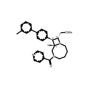 COC[C@H]1[C@H](c2ccc(-c3cccc(C)c3)cc2)[C@H]2CN(C(=O)c3ccncc3)CCCCN21